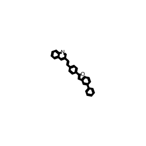 C(=Cc1cnc2ccccc2c1)c1ccc(-c2cc3cc(-c4ccccc4)ccc3o2)cc1